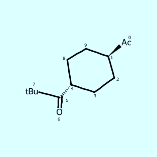 CC(=O)[C@H]1CC[C@H](C(=O)C(C)(C)C)CC1